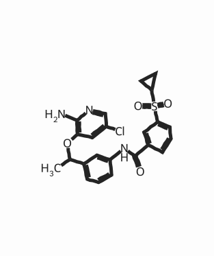 CC(Oc1cc(Cl)cnc1N)c1cccc(NC(=O)c2cccc(S(=O)(=O)C3CC3)c2)c1